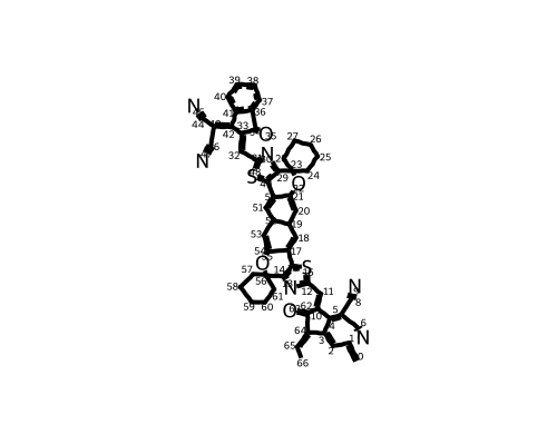 C=CC=C1C(=C(C#N)C#N)/C(=C/c2nc3c(s2)C2=CC4C=C5OC6(CCCCC6)c6nc(/C=C7\C(=O)c8ccccc8C7=C(C#N)C#N)sc6C5=CC4C=C2OC32CCCCC2)C(=O)/C1=C/C